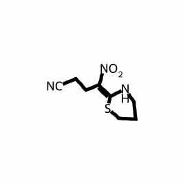 N#CCC/C(=C1/NCCCS1)[N+](=O)[O-]